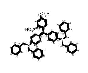 O=S(=O)(O)c1ccc(C(=C2C=CC(=[N+](Cc3ccccc3)Cc3ccccc3)C=C2)c2ccc(N(Cc3ccccc3)Cc3ccccc3)cc2)c(S(=O)(=O)O)c1